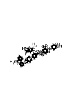 Cc1nc2[nH]cc(F)c2cc1Oc1cc(N2CCC3(CC2)CN([C@@H]2CCC[C@@H]2c2ccccc2C(C)C)C3)ccc1C(=O)NS(=O)(=O)c1ccc(NC[C@H]2CC[C@](C)(O)CC2)c([N+](=O)[O-])c1